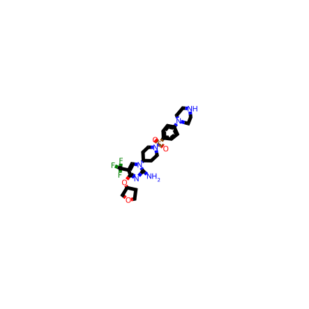 NC1N=C(OC2CCOC2)C(C(F)(F)F)=CN1C1CCN(S(=O)(=O)c2ccc(N3CCNCC3)cc2)CC1